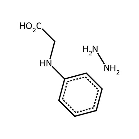 NN.O=C(O)CNc1ccccc1